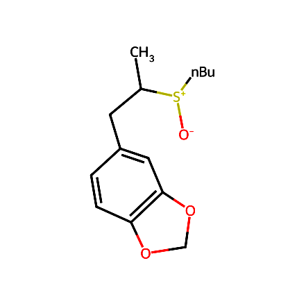 CCCC[S+]([O-])C(C)Cc1ccc2c(c1)OCO2